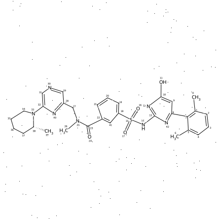 Cc1cccc(C)c1-c1cc(O)nc(NS(=O)(=O)c2cccc(C(=O)N(C)Cc3cncc(N4CCCC[C@H]4C)n3)c2)n1